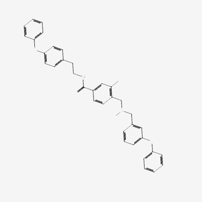 O=C(NCCc1ccc(Oc2ccccc2)cc1)c1ccc(CN(O)Cc2cccc(Oc3ccccc3)c2)c(Br)c1